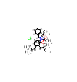 CCOC(C)(Oc1cccc(CC(C)C)c1CC(C)C)[N+](C)(C)Cc1ccccc1.[Cl-]